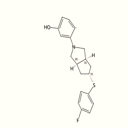 Oc1cc[c]c(N2C[C@H]3C[C@H](Sc4ccc(F)cc4)C[C@H]3C2)c1